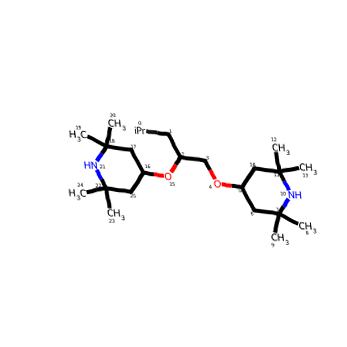 CC(C)CC(COC1CC(C)(C)NC(C)(C)C1)OC1CC(C)(C)NC(C)(C)C1